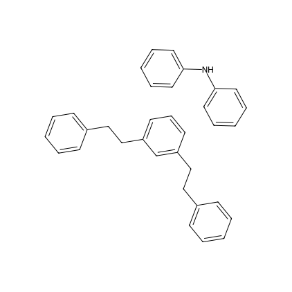 c1ccc(CCc2cccc(CCc3ccccc3)c2)cc1.c1ccc(Nc2ccccc2)cc1